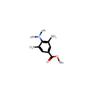 CCCN(CCC)c1c([N+](=O)[O-])cc(C(=O)OC(C)(C)C)cc1[N+](=O)[O-]